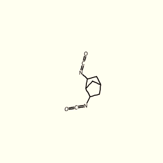 O=C=NC1CC2CC(N=C=O)C1C2